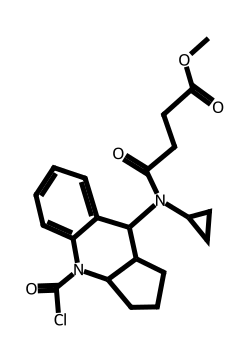 COC(=O)CCC(=O)N(C1CC1)C1c2ccccc2N(C(=O)Cl)C2CCCC21